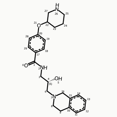 O=C(NC[C@H](O)CN1CCc2ccccc2C1)c1ccc(OC2CCCNC2)cc1